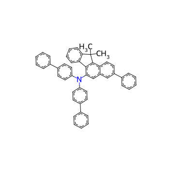 CC1(C)c2ccccc2-c2c(N(c3ccc(-c4ccccc4)cc3)c3ccc(-c4ccccc4)cc3)cc3cc(-c4ccccc4)ccc3c21